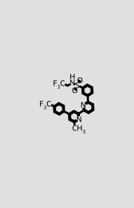 Cc1cc(-c2ccc(C(F)(F)F)cc2)cc(-c2cccc(-c3cccc(S(=O)(=O)NCC(F)(F)F)c3)n2)n1